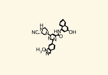 Cn1ncc2ccc(-c3nc(C(=O)Nc4cc(O)cc5ccccc45)cc(N4CCN[C@@H](CC#N)C4)n3)cc21